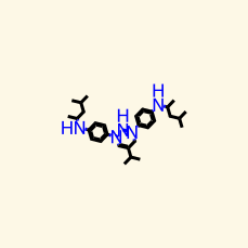 CC(C)CC(C)Nc1ccc(N2C=C(C(C)C)CN(c3ccc(NC(C)CC(C)C)cc3)N2)cc1